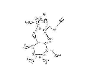 O=C[C@H](O)[C@@H](OC1O[C@H](CO)[C@H](O)[C@H](O)[C@H]1O)[C@H](O)[C@H](O)CO